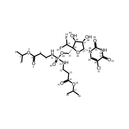 CC(C)OC(=O)CCNP(=O)(NCCC(=O)OC(C)C)OC[C@@]1(C(F)F)O[C@@H](n2cc(Cl)c(=O)[nH]c2=O)[C@H](O)[C@@H]1O